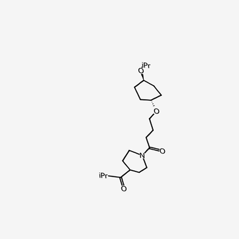 CC(C)O[C@H]1CC[C@H](OCCCC(=O)N2CCC(C(=O)C(C)C)CC2)CC1